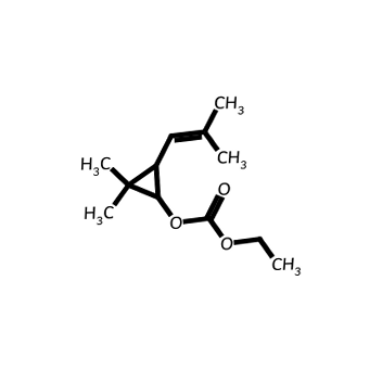 CCOC(=O)OC1C(C=C(C)C)C1(C)C